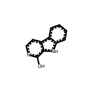 Oc1nccc2c1[nH]c1ccccc12